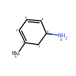 CC(C)(C)C1=CC=CC(N)C1